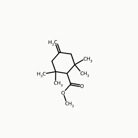 C=C1CC(C)(C)C(C(=O)OC)C(C)(C)C1